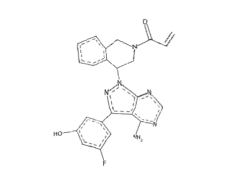 C=CC(=O)N1Cc2ccccc2C(n2nc(-c3cc(O)cc(F)c3)c3c(N)ncnc32)C1